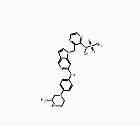 C[C@H]1CN(c2ccc(Nc3cc4c(ccn4Cc4nccnc4N(C)S(C)(=O)=O)cn3)cc2)CCN1